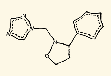 c1ccc(C2CCON2Cn2cncn2)cc1